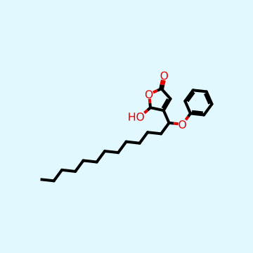 CCCCCCCCCCCCC(Oc1ccccc1)C1=CC(=O)OC1O